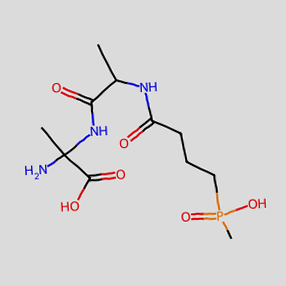 CC(NC(=O)CCCP(C)(=O)O)C(=O)NC(C)(N)C(=O)O